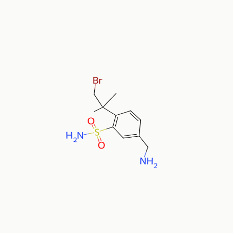 CC(C)(CBr)c1ccc(CN)cc1S(N)(=O)=O